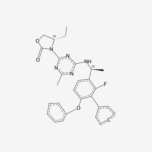 CC[C@H]1COC(=O)N1c1nc(C)nc(N[C@@H](C)c2ccc(Oc3ccccc3)c(-c3ccccc3)c2F)n1